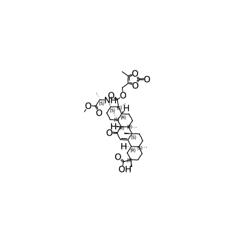 COC(=O)[C@H](C)N[C@H]1CC[C@@]2(C)[C@@H](CC[C@]3(C)[C@@H]2C(=O)C=C2[C@@H]4C[C@@](C)(C(=O)O)CC[C@]4(C)CC[C@]23C)[C@]1(C)C(=O)OCc1oc(=O)oc1C